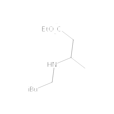 CCOC(=O)CC(C)NCC(C)CC